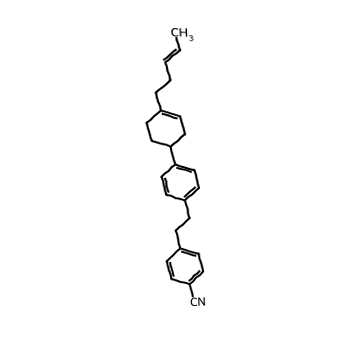 CC=CCCC1=CCC(c2ccc(CCc3ccc(C#N)cc3)cc2)CC1